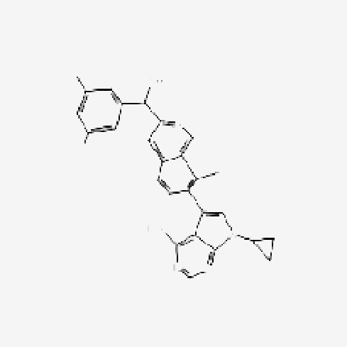 COC(c1cc(F)cc(F)c1)c1cc2ccc(-c3cn(C4CC4)c4ncnc(N)c34)c(F)c2cn1